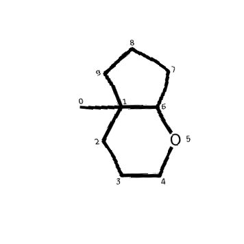 CC12CCCOC1CCC2